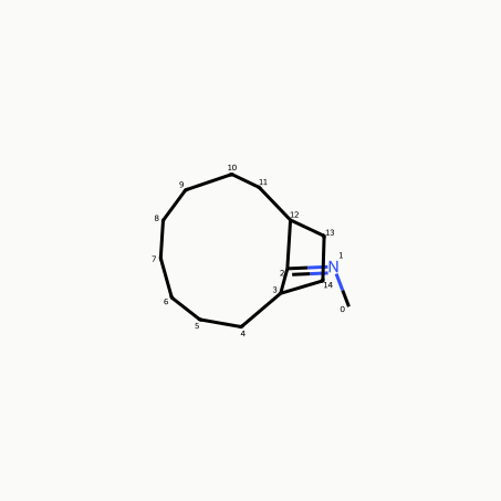 CN=C1C2CCCCCCCCC1CC2